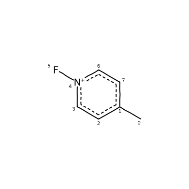 Cc1cc[n+](F)cc1